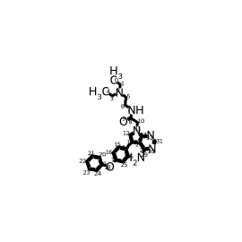 CCN(CC)CCNC(=O)Cn1cc(-c2ccc(Oc3ccccc3)cc2)c2c(N)ncnc21